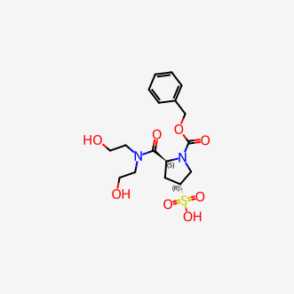 O=C([C@@H]1C[C@@H](S(=O)(=O)O)CN1C(=O)OCc1ccccc1)N(CCO)CCO